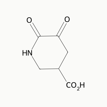 O=C1CC(C(=O)O)CNC1=O